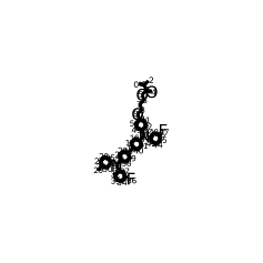 C=C(C)C(=O)OCCCOc1ccc(N(c2ccc(-c3ccc(N(c4cccc(C)c4)c4cccc(F)c4)cc3)cc2)c2cccc(F)c2)cc1